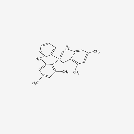 Cc1cc(C)c(CP(=O)(c2ccccc2)c2c(C)cc(C)cc2C)c(C)c1